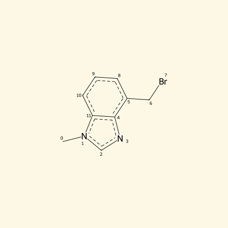 Cn1cnc2c(CBr)cccc21